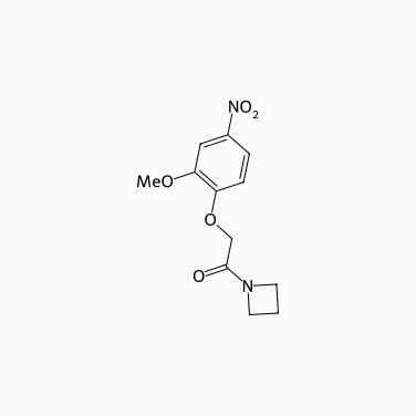 COc1cc([N+](=O)[O-])ccc1OCC(=O)N1CCC1